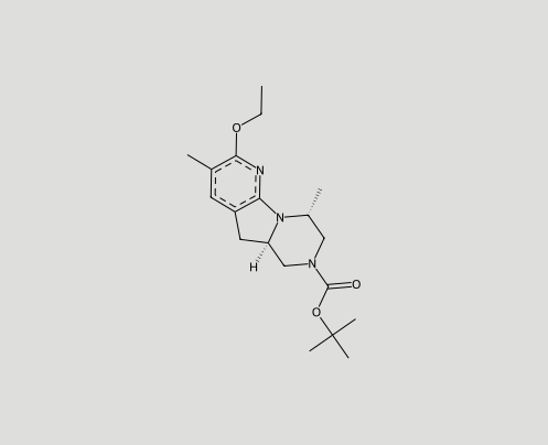 CCOc1nc2c(cc1C)C[C@@H]1CN(C(=O)OC(C)(C)C)C[C@@H](C)N21